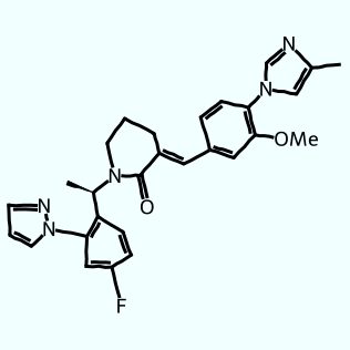 COc1cc(/C=C2\CCCN([C@H](C)c3ccc(F)cc3-n3cccn3)C2=O)ccc1-n1cnc(C)c1